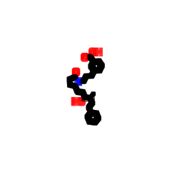 C[C@@H](CCc1ccccc1)[C@H](O)C=CC1CCC(=O)N1CCCc1cccc(C(=O)O)c1